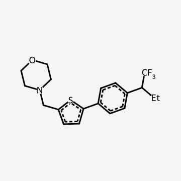 CCC(c1ccc(-c2ccc(CN3CCOCC3)s2)cc1)C(F)(F)F